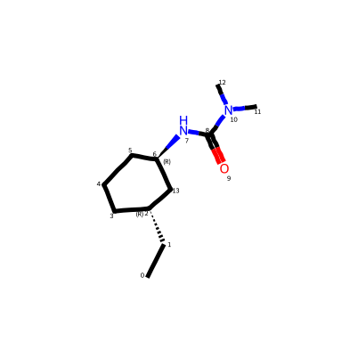 CC[C@@H]1CCC[C@@H](NC(=O)N(C)C)C1